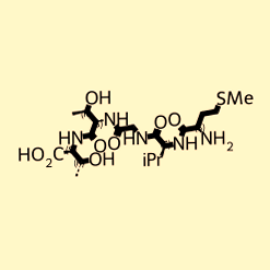 CSCC[C@H](N)C(=O)N[C@H](C(=O)NCC(=O)N[C@H](C(=O)N[C@H](C(=O)O)[C@@H](C)O)[C@@H](C)O)C(C)C